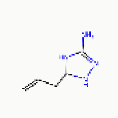 C=CCC1NN=C(N)N1